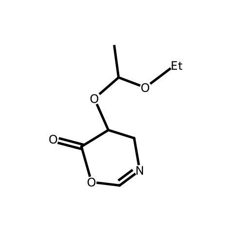 CCOC(C)OC1CN=COC1=O